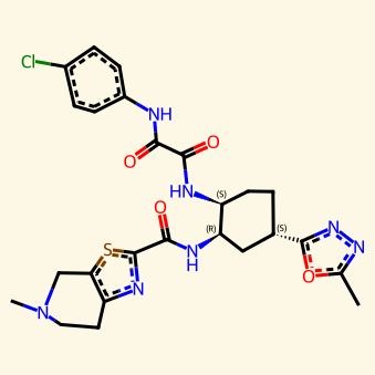 Cc1nnc([C@H]2CC[C@H](NC(=O)C(=O)Nc3ccc(Cl)cc3)[C@H](NC(=O)c3nc4c(s3)CN(C)CC4)C2)o1